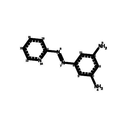 Nc1cc(N)cc(N=Nc2ccccn2)c1